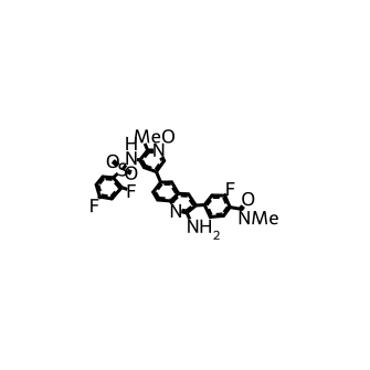 CNC(=O)c1ccc(-c2cc3cc(-c4cnc(OC)c(NS(=O)(=O)c5ccc(F)cc5F)c4)ccc3nc2N)cc1F